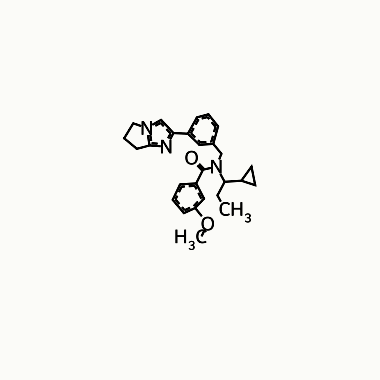 CCC(C1CC1)N(Cc1cccc(-c2cn3c(n2)CCC3)c1)C(=O)c1cccc(OC)c1